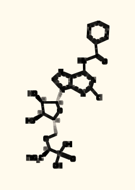 CCOC(=O)[C@@H](OC[C@H]1O[C@@H](n2cnc3c(NC(=O)c4ccccc4)nc(Cl)nc32)[C@H](O)[C@@H]1O)P(=O)(O)O